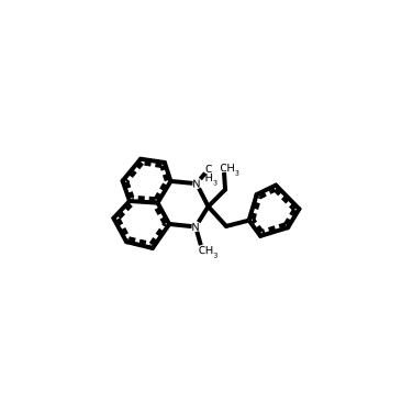 CCC1(Cc2ccccc2)N(C)c2cccc3cccc(c23)N1C